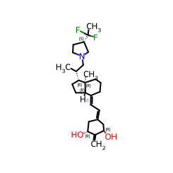 C=C1[C@H](O)CC(=C/C=C2\CCC[C@]3(C)[C@@H](C(C)CN4CC[C@H](C(C)(F)F)C4)CC[C@@H]23)C[C@H]1O